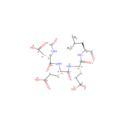 CC(C)C[C@@H](C=O)NC(=O)[C@H](CCC(=O)O)NC(=O)[C@H](CCC(=O)O)NC(=O)[C@H](CC(=O)O)NC=O